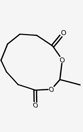 CC1OC(=O)CCCCCCC(=O)O1